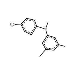 Cc1cc(C)cc(N(C)c2ccc(C(F)(F)F)cc2)c1